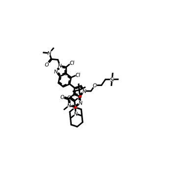 CN(C)C(=O)Cn1nc2ccc(-c3cn(COCC[Si](C)(C)C)c4nc(N5C6CCCC5CN(C(=O)OC(C)(C)C)C6)n(C)c(=O)c34)c(Cl)c2c1Cl